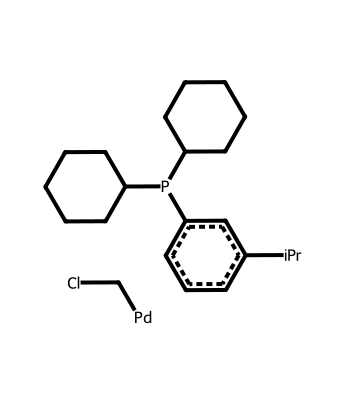 CC(C)c1cccc(P(C2CCCCC2)C2CCCCC2)c1.Cl[CH2][Pd]